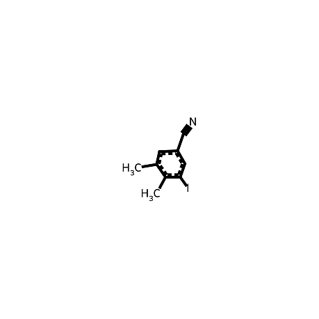 Cc1cc(C#N)cc(I)c1C